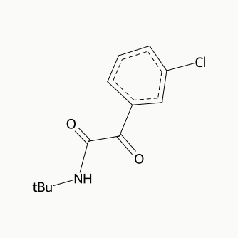 CC(C)(C)NC(=O)C(=O)c1cccc(Cl)c1